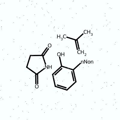 C=C(C)C.CCCCCCCCCc1ccccc1O.O=C1CCC(=O)N1